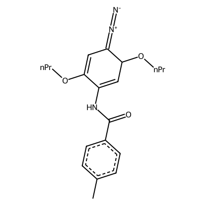 CCCOC1=CC(=[N+]=[N-])C(OCCC)C=C1NC(=O)c1ccc(C)cc1